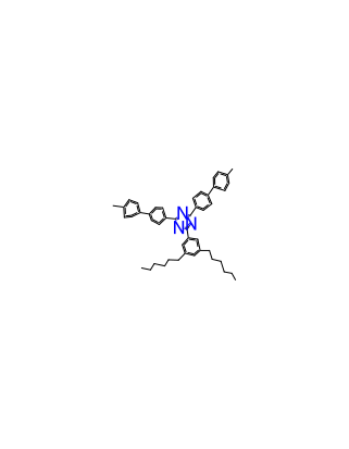 CCCCCCc1cc(CCCCCC)cc(-c2nc(-c3ccc(-c4ccc(C)cc4)cc3)nc(-c3ccc(-c4ccc(C)cc4)cc3)n2)c1